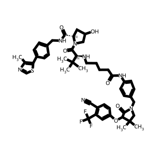 Cc1ncsc1-c1ccc(CNC(=O)[C@@H]2CC(O)CN2C(=O)[C@@H](NCCCCC(=O)Nc2ccc(CN3CC(C)(C)C(Oc4ccc(C#N)c(C(F)(F)F)c4)C3=O)cc2)C(C)(C)C)cc1